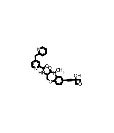 CN1C(=O)C(NC(=O)c2cc(Cc3ccccn3)ccn2)COc2ccc(C#CC3(O)COC3)cc21